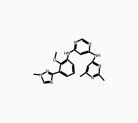 COc1c(Nc2cc(Nc3cc(C)nc(C)n3)ncn2)cccc1-c1ncn(C)n1